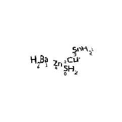 S.[BaH2].[Cu].[SnH2].[Zn]